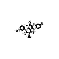 Cn1c(=O)cc(Nc2ccc(Br)cc2F)c2c(=O)n(C3CC3)c(=O)n(-c3cccc(O)c3)c21